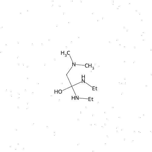 CCNC(O)(CN(C)C)NCC